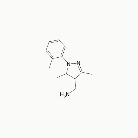 CC1=NN(c2ccccc2C)C(C)C1CN